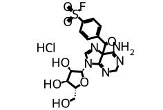 Cl.NC1=NCN=C2N([C@@H]3O[C@H](CO)[C@@H](O)[C@H]3O)C=NC12C(=O)c1ccc(S(=O)(=O)F)cc1